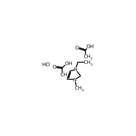 CC(=O)O.CC(=O)O.CCN1C=CN(C)C1.Cl